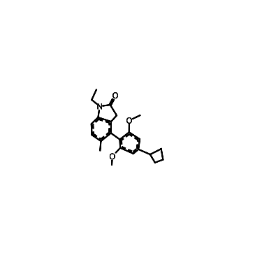 CCN1C(=O)Cc2c1ccc(C)c2-c1c(OC)cc(C2CCC2)cc1OC